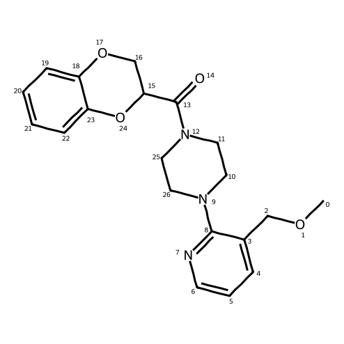 COCc1cccnc1N1CCN(C(=O)C2COc3ccccc3O2)CC1